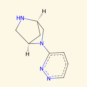 c1cnnc(N2C[C@H]3C[C@@H]2CN3)c1